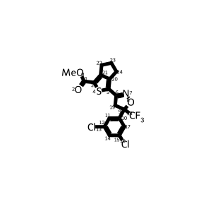 COC(=O)c1sc(C2=NOC(c3cc(Cl)cc(Cl)c3)(C(F)(F)F)C2)c2c1CCC2